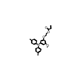 C=CC(=O)OCCOc1cc(OC)cc(N(c2ccc(C)cc2)c2ccc(C)cc2)c1